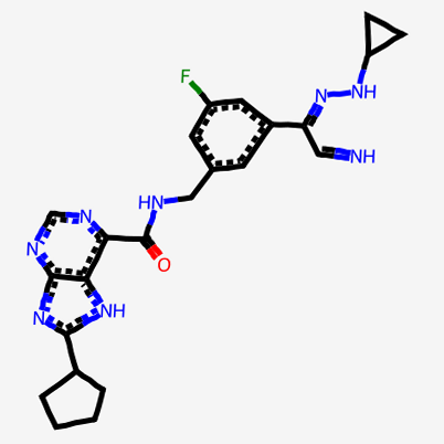 N=C/C(=N\NC1CC1)c1cc(F)cc(CNC(=O)c2ncnc3nc(C4CCCC4)[nH]c23)c1